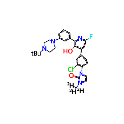 [2H]C([2H])([2H])n1ccn(-c2ccc(-c3cc(F)nc(-c4cccc(N5CCN(C(C)(C)C)CC5)c4)c3O)cc2Cl)c1=O